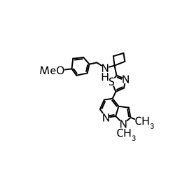 COc1ccc(CNC2(c3ncc(-c4ccnc5c4cc(C)n5C)s3)CCC2)cc1